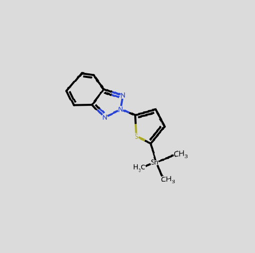 [CH3][Sn]([CH3])([CH3])[c]1ccc(-n2nc3ccccc3n2)s1